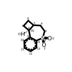 O=S1(=O)CCC2CC[C@@H]2c2ccccc21